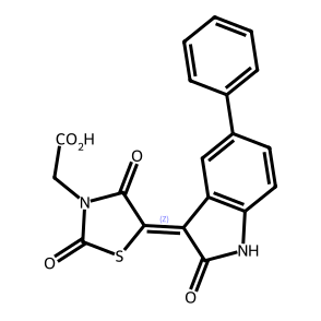 O=C(O)CN1C(=O)S/C(=C2\C(=O)Nc3ccc(-c4ccccc4)cc32)C1=O